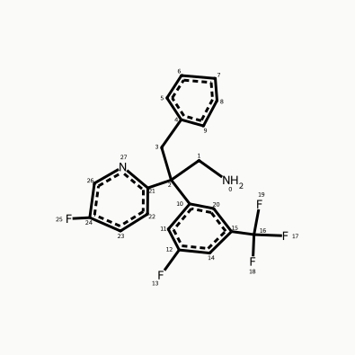 NCC(Cc1ccccc1)(c1cc(F)cc(C(F)(F)F)c1)c1ccc(F)cn1